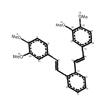 COc1ccc(/C=C/c2ccccc2/C=C/c2ccc(OC)c(OC)c2)cc1OC